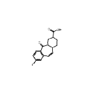 O=C(O)C1CCC2C=Cc3cc(F)ccc3C(=O)N2C1